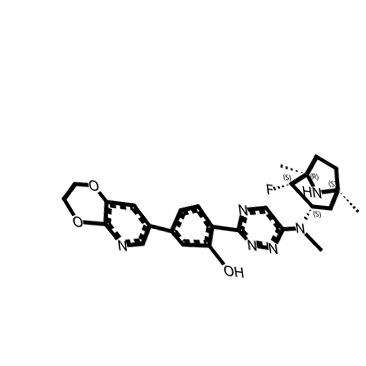 CN(c1cnc(-c2ccc(-c3cnc4c(c3)OCCO4)cc2O)nn1)[C@H]1C[C@]2(C)CC[C@@](C)(N2)[C@H]1F